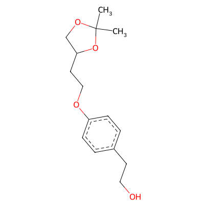 CC1(C)OCC(CCOc2ccc(CCO)cc2)O1